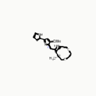 COC1=CC(c2ccc[nH]2)=N/C1=C/c1[nH]c2cc1[C@@H](C)CCCCCC2